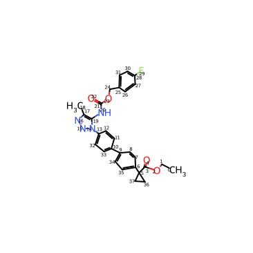 CCOC(=O)C1(c2ccc(-c3ccc(-n4nnc(C)c4NC(=O)OCc4ccc(F)cc4)cc3)cc2)CC1